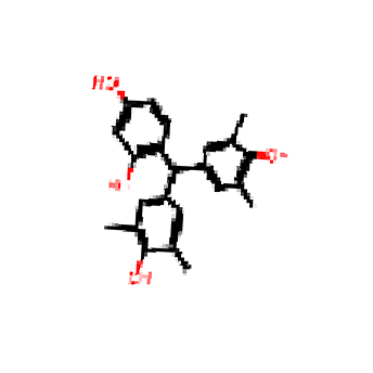 Cc1cc(C(c2cc(C)c(O)c(C)c2)c2ccc(O)cc2O)cc(C)c1O